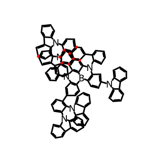 c1ccc(-c2ccccc2N2c3cc(-c4cccc(-n5c6ccccc6c6ccccc65)c4-n4c5ccccc5c5ccccc54)ccc3B3c4ccc(-n5c6ccccc6c6ccccc65)cc4N(c4ccccc4-c4ccccc4)c4cc(-c5cccc(-n6c7ccccc7c7ccccc76)c5-n5c6ccccc6c6ccccc65)cc2c43)cc1